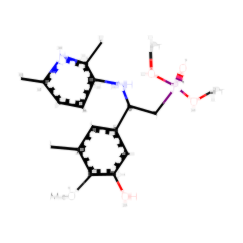 COc1c(C)cc(C(CP(=O)(OC(C)C)OC(C)C)Nc2ccc(C)nc2C)cc1O